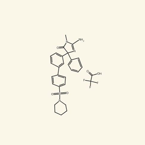 CN1C(=O)C(c2ccccc2)(c2cccc(-c3ccc(S(=O)(=O)N4CCCCC4)cc3)c2)N=C1N.O=C(O)C(F)(F)F